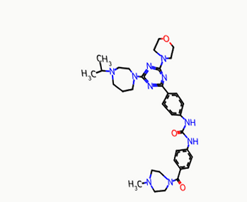 CC(C)N1CCCN(c2nc(-c3ccc(NC(=O)Nc4ccc(C(=O)N5CCN(C)CC5)cc4)cc3)nc(N3CCOCC3)n2)CC1